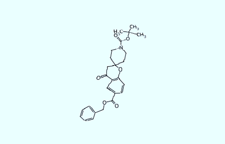 CC(C)(C)OC(=O)N1CCC2(CC1)CC(=O)c1cc(C(=O)OCc3ccccc3)ccc1O2